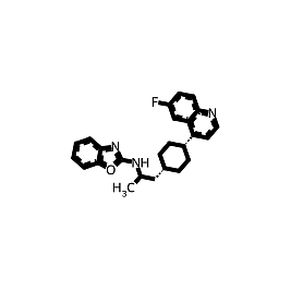 CC(C[C@H]1CC[C@@H](c2ccnc3ccc(F)cc32)CC1)Nc1nc2ccccc2o1